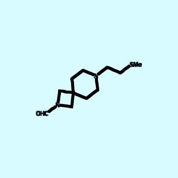 CSCCN1CCC2(CC1)CN(C=O)C2